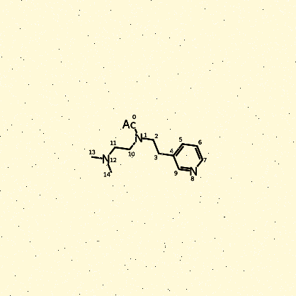 CC(=O)N(CCc1cccnc1)CCN(C)C